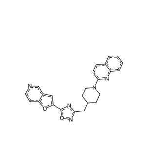 c1ccc2nc(N3CCC(Cc4noc(-c5cc6cnccc6o5)n4)CC3)ccc2c1